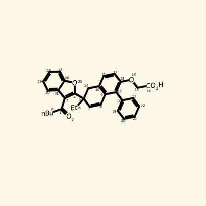 CCCCC(=O)c1c(C2(CC)C=Cc3c(ccc(OCC(=O)O)c3-c3ccccc3)C2)oc2ccccc12